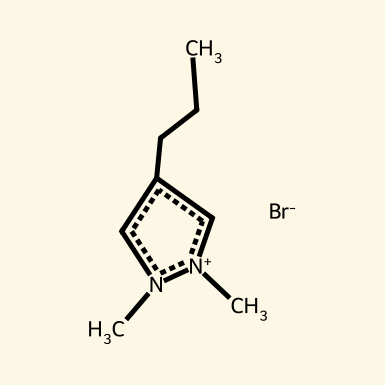 CCCc1cn(C)[n+](C)c1.[Br-]